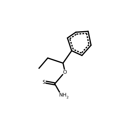 CCC(OC(N)=S)c1ccccc1